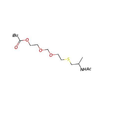 CCC(C)C(=O)OCCOCOCCSCC(C)NC(C)=O